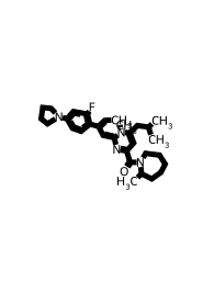 C/C=C(\C=C1\N=C(C(=O)N2CCCCCC2C)C=C(CC(C)C)N1C)c1ccc(N2CCCC2)cc1F